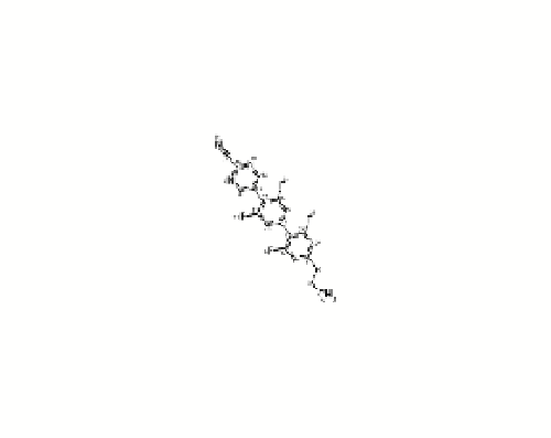 CCCc1cc(F)c(-c2cc(F)c(-c3cnc(C#N)nc3)c(F)c2)c(F)c1